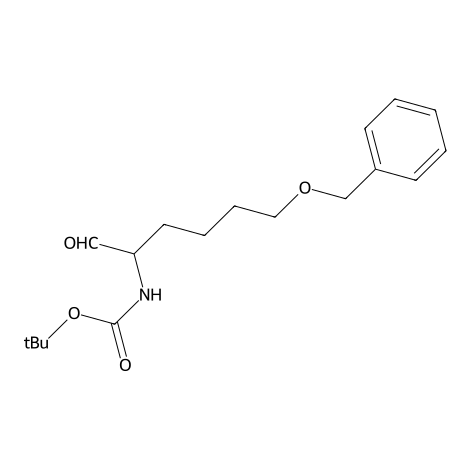 CC(C)(C)OC(=O)NC(C=O)CCCCOCc1ccccc1